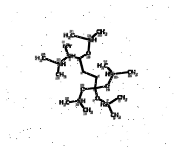 CCC[SiH](C(CCC(O[SiH](C)C)(O[SiH](C)C)O[SiH](C)C)O[SiH](C)C)[SiH](C)C